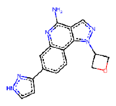 Nc1nc2cc(-c3cc[nH]n3)ccc2c2c1cnn2C1COC1